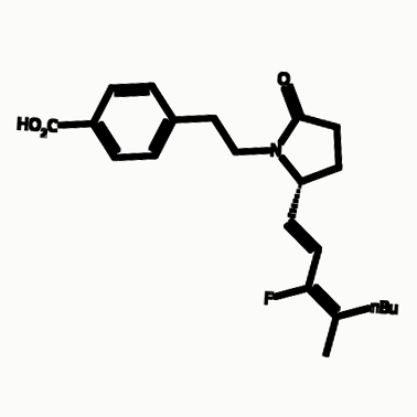 CCCC/C(C)=C(F)\C=C\[C@H]1CCC(=O)N1CCc1ccc(C(=O)O)cc1